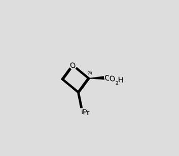 CC(C)C1CO[C@H]1C(=O)O